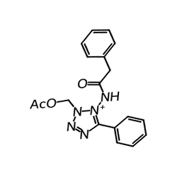 CC(=O)OCn1nnc(-c2ccccc2)[n+]1NC(=O)Cc1ccccc1